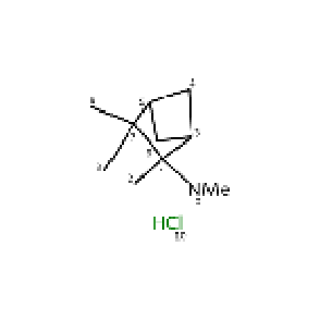 CNC1(C)C2CC(C2)C1(C)C.Cl